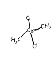 [CH3][Ge]([CH3])([Cl])[Cl]